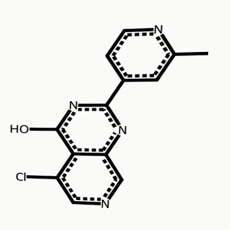 Cc1cc(-c2nc(O)c3c(Cl)cncc3n2)ccn1